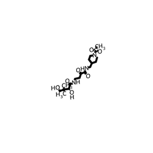 CC(C)(CO)[C@@H](O)C(=O)NCCC(=O)C(=O)NCC1CCN(S(C)(=O)=O)CC1